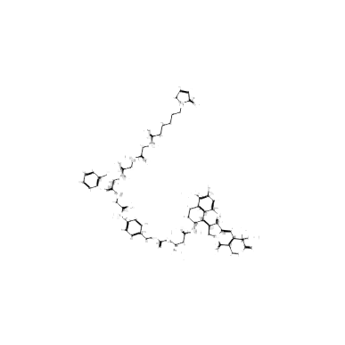 CC[C@@]1(O)C(=O)OCc2c1cc1n(c2=O)Cc2c-1nc1cc(F)c(C)c3c1c2[C@@H](NC(=O)C[C@H](C)NC(=O)OCc1ccc(NC(=O)CNC(=O)[C@H](Cc2ccccc2)NC(=O)CNC(=O)CNC(=O)CCCCCN2CC=CC2=O)cc1)CC3